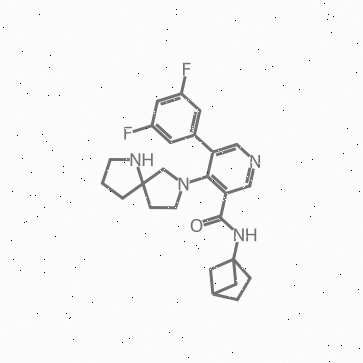 O=C(NC12CCC(C1)C2)c1cncc(-c2cc(F)cc(F)c2)c1N1CCC2(CCCN2)C1